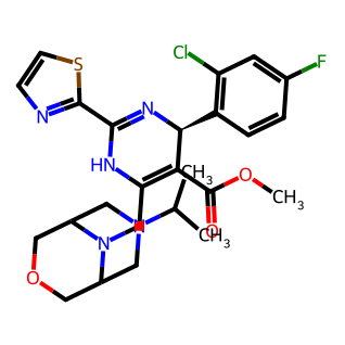 COC(=O)C1=C(CN2C3COCC2CN(C(C)C)C3)NC(c2nccs2)=N[C@H]1c1ccc(F)cc1Cl